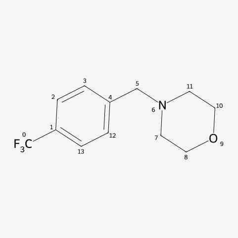 FC(F)(F)c1ccc(CN2CCOCC2)cc1